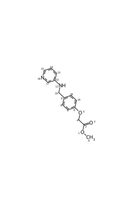 COC(=O)COc1ccc(CNc2cccnc2)cc1